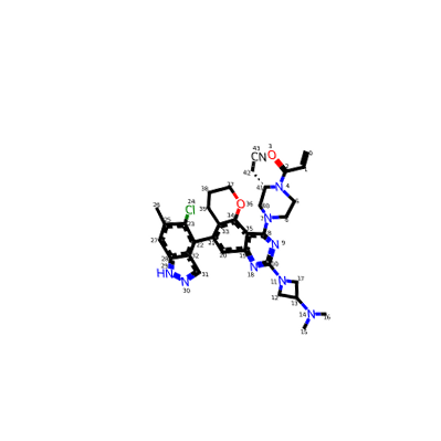 C=CC(=O)N1CCN(c2nc(N3CC(N(C)C)C3)nc3cc(-c4c(Cl)c(C)cc5[nH]ncc45)c4c(c23)OCCC4)C[C@@H]1CC#N